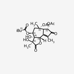 CC[C@H](C)C(=O)O[C@H]1C[C@](C)(OC(C)=O)C2C(=C(C)C(=O)[C@H]2OC(C)=O)[C@@H]2OC(=O)[C@@](C)(O)[C@@]12O